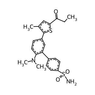 CCC(=O)c1cc(C)c(-c2ccc(N(C)C)c(-c3ccc(S(N)(=O)=O)cc3)c2)s1